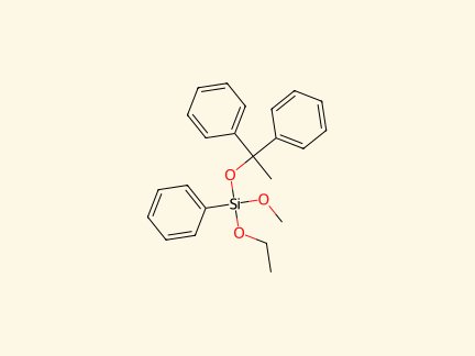 CCO[Si](OC)(OC(C)(c1ccccc1)c1ccccc1)c1ccccc1